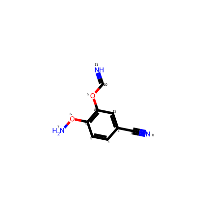 N#Cc1ccc(ON)c(OC=N)c1